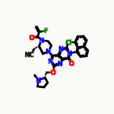 C=C(F)C(=O)N1CCN(c2nc(OC[C@@H]3CCCN3C)nc3c(=O)n(-c4cccc5cccc(Cl)c45)c(C)nc23)C[C@@H]1CC#N